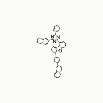 C1=CC2Oc3c(-c4ccc(-c5ccc6ccccc6c5)cc4)cccc3C2C(c2nc(-c3ccccc3)nc(-c3ccc4ccccc4c3)n2)=C1